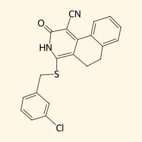 N#Cc1c2c(c(SCc3cccc(Cl)c3)[nH]c1=O)CCc1ccccc1-2